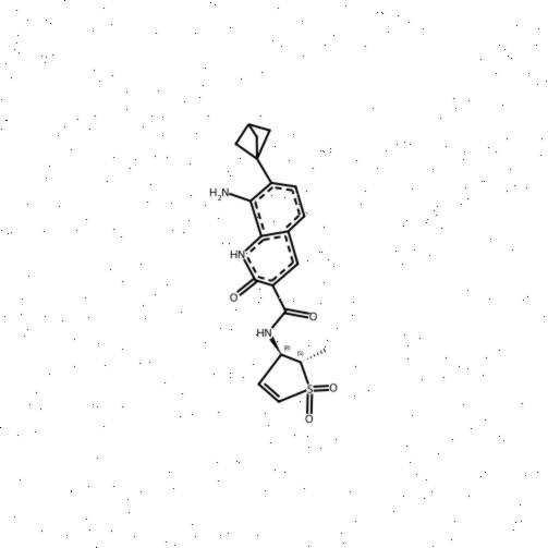 C[C@H]1[C@H](NC(=O)c2cc3ccc(C45CC(C4)C5)c(N)c3[nH]c2=O)C=CS1(=O)=O